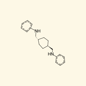 c1ccc(NC[C@H]2CC[C@H](CNc3ccccc3)CC2)cc1